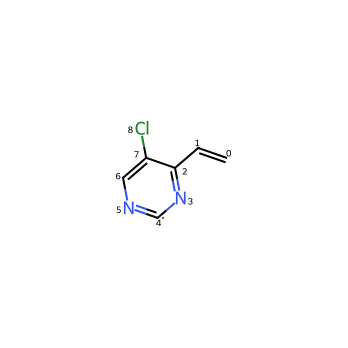 C=Cc1n[c]ncc1Cl